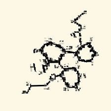 CCCOc1ccccc1-c1cccc(P)c1-c1ccccc1OCCC